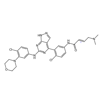 CN(C)C/C=C/C(=O)Nc1ccc(Cl)c(-c2nc(Nc3ccc(Cl)c(N4CCOCC4)c3)nc3[nH]ncc23)c1